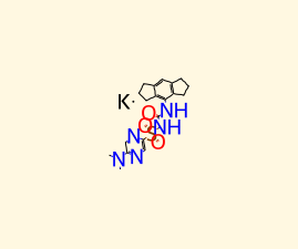 CN(C)c1cnc(S(=O)(=O)NC(=O)Nc2c3c(cc4c2CCC4)CCC3)cn1.[K]